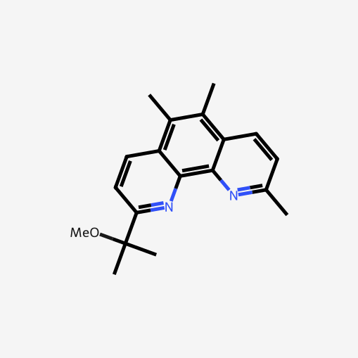 COC(C)(C)c1ccc2c(C)c(C)c3ccc(C)nc3c2n1